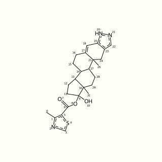 Cc1ncsc1C(=O)OC1(O)CCC2C3CCC4=Cc5[nH]ncc5CC4(C)C3CCC21C